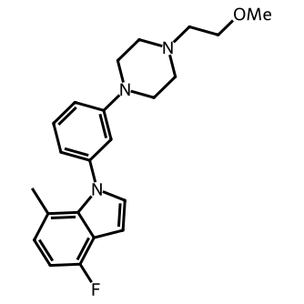 COCCN1CCN(c2cccc(-n3ccc4c(F)ccc(C)c43)c2)CC1